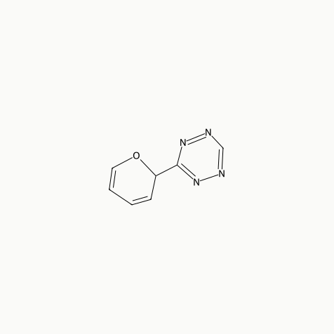 C1=COC(c2nncnn2)C=C1